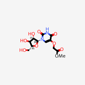 COC(=O)COc1cn([C@@H]2O[C@H](CO)C(O)[C@@H]2O)c(=O)[nH]c1=O